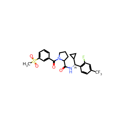 CS(=O)(=O)c1cccc(C(=O)N2CCCC2C(=O)N[C@@H](c2ccc(C(F)(F)F)cc2F)C2CC2)c1